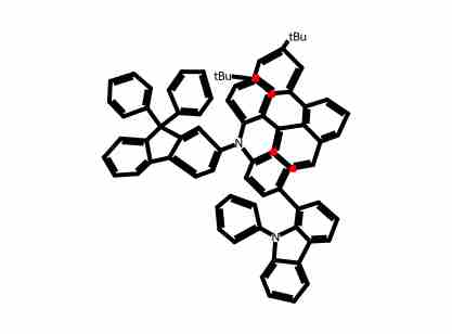 CC(C)(C)c1cc(-c2cccc3cccc(-c4ccccc4N(c4ccc(-c5cccc6c7ccccc7n(-c7ccccc7)c56)cc4)c4ccc5c(c4)C(c4ccccc4)(c4ccccc4)c4ccccc4-5)c23)cc(C(C)(C)C)c1